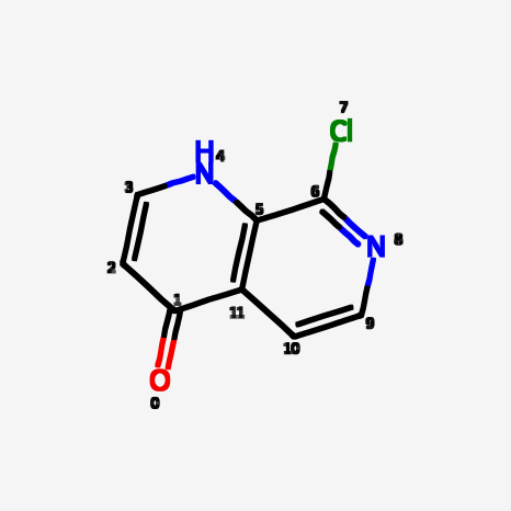 O=c1cc[nH]c2c(Cl)nccc12